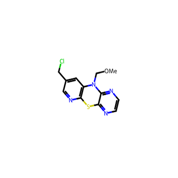 COCN1c2cc(CCl)cnc2Sc2nccnc21